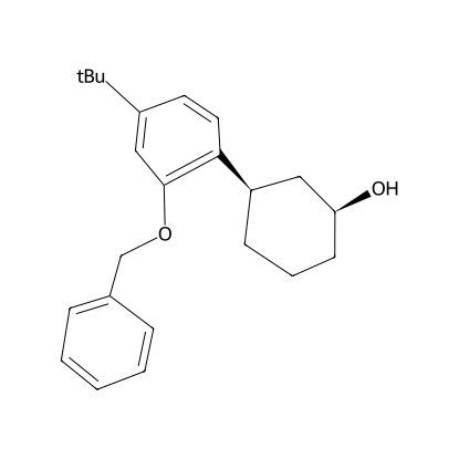 CC(C)(C)c1ccc([C@@H]2CCC[C@H](O)C2)c(OCc2ccccc2)c1